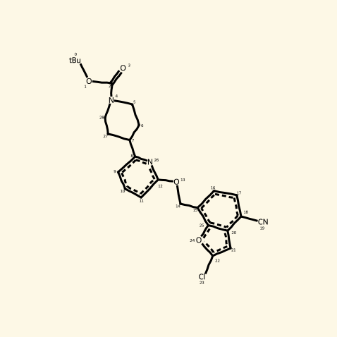 CC(C)(C)OC(=O)N1CCC(c2cccc(OCc3ccc(C#N)c4cc(Cl)oc34)n2)CC1